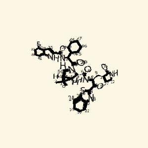 CC1(C)[C@@H]2[C@@H](C(=O)N[C@@H](C[C@@H]3CCNC3=O)C(=O)c3nc4ccccc4s3)N(C(=O)[C@@H](NC(=O)c3cc4c(F)cccc4[nH]3)C3CCCCC3)C[C@@H]21